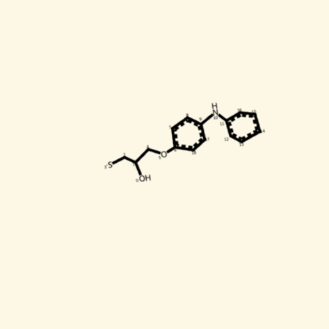 OC(C[S])COc1ccc(Nc2ccccc2)cc1